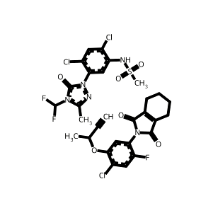 C#CC(C)Oc1cc(N2C(=O)C3=C(CCCC3)C2=O)c(F)cc1Cl.Cc1nn(-c2cc(NS(C)(=O)=O)c(Cl)cc2Cl)c(=O)n1C(F)F